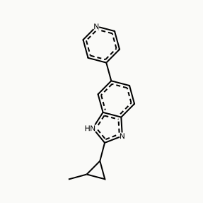 CC1CC1c1nc2ccc(-c3ccncc3)cc2[nH]1